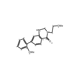 COCCN1CNc2cc(-c3ccccc3OC)ccc2C1=O